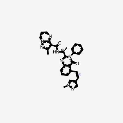 Cc1nn2cccnc2c1C(=O)N[C@@H](C)c1nc2cccc(/C=C\c3cnn(C)c3)c2c(=O)n1-c1ccccc1